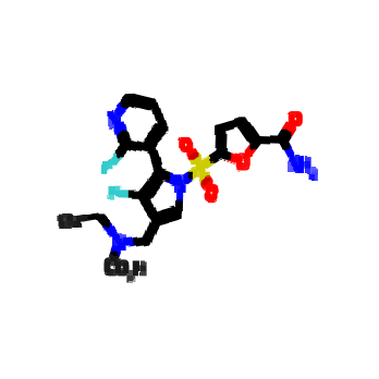 CC(C)(C)CN(Cc1cn(S(=O)(=O)c2ccc(C(N)=O)o2)c(-c2cccnc2F)c1F)C(=O)O